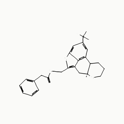 CC(C)(C)c1cc2c3c(c(CNC(=O)Cc4ccccc4)[nH]c3c1)C[C@H]1NCCCC21